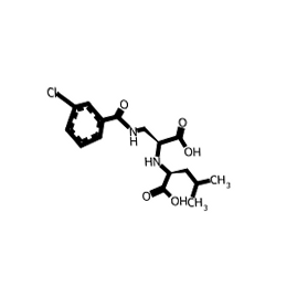 CC(C)C[C@H](N[C@@H](CNC(=O)c1cccc(Cl)c1)C(=O)O)C(=O)O